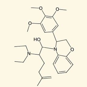 C=C(C)CCC(C(O)N1c2ccccc2OCC1c1cc(OC)c(OC)c(OC)c1)N(CC)CC